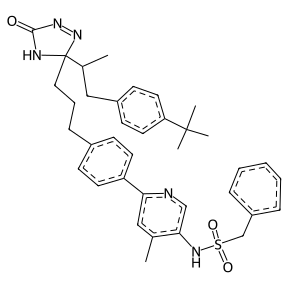 Cc1cc(-c2ccc(CCCC3(C(C)Cc4ccc(C(C)(C)C)cc4)N=NC(=O)N3)cc2)ncc1NS(=O)(=O)Cc1ccccc1